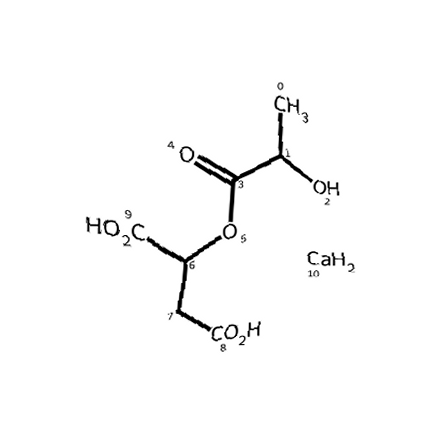 CC(O)C(=O)OC(CC(=O)O)C(=O)O.[CaH2]